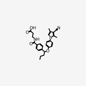 CCCC(Oc1ccc(-n2cc(C)c(C#N)c2C)cc1)c1ccc(C(=O)NCCC(=O)O)cc1